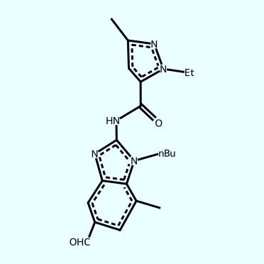 CCCCn1c(NC(=O)c2cc(C)nn2CC)nc2cc(C=O)cc(C)c21